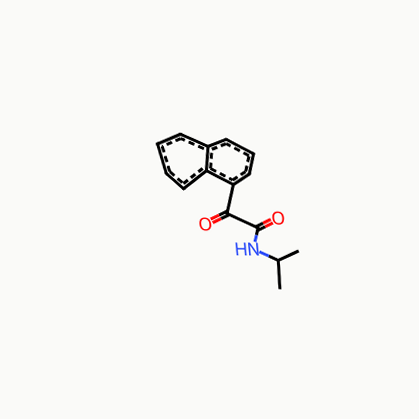 CC(C)NC(=O)C(=O)c1cccc2ccccc12